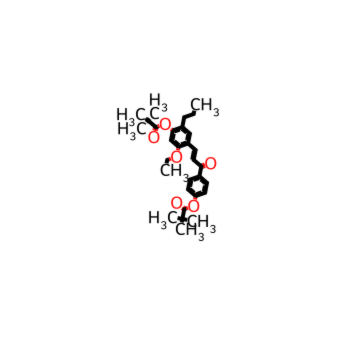 CCCc1cc(C=CC(=O)c2ccc(OC(=O)C(C)(C)C)cc2)c(OCC)cc1OC(=O)C(C)(C)C